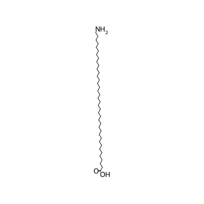 NCCCCCCCCCCCCCCCCCCCCCCCCCCCCCCCCCCCCCCC(=O)O